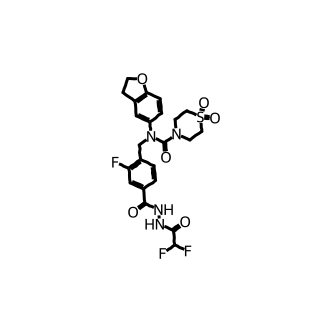 O=C(NNC(=O)C(F)F)c1ccc(CN(C(=O)N2CCS(=O)(=O)CC2)c2ccc3c(c2)CCO3)c(F)c1